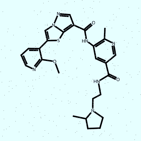 COc1ncccc1-c1cn2ncc(C(=O)Nc3cc(C(=O)NCCN4CCCC4C)cnc3C)c2s1